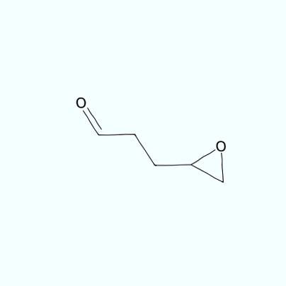 O=CCCC1CO1